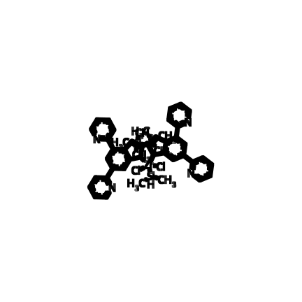 C[SiH](C)[Zr]([Cl])([Cl])([CH]1C([Si](C)(C)C)=Cc2c(-c3ccccn3)cc(-c3ccccn3)cc21)[CH]1C([Si](C)(C)C)=Cc2c(-c3ccccn3)cc(-c3ccccn3)cc21